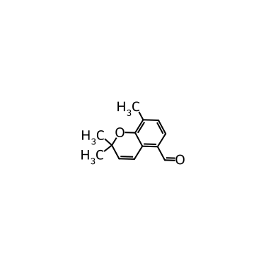 Cc1ccc(C=O)c2c1OC(C)(C)C=C2